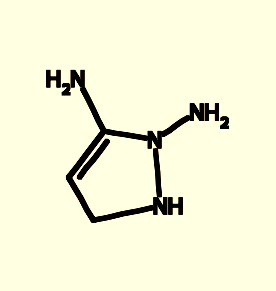 NC1=CCNN1N